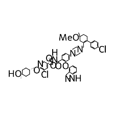 COC1(C)CCC(c2ccc(Cl)cc2)=C(CN2CCN(c3ccc(C(=O)NS(=O)(=O)c4cnc(OC[C@H]5CC[C@](C)(O)CC5)c(Cl)c4)c(Oc4cccc5[nH]ncc45)c3)CC2)C1